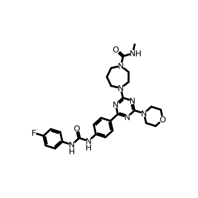 CNC(=O)N1CCCN(c2nc(-c3ccc(NC(=O)Nc4ccc(F)cc4)cc3)nc(N3CCOCC3)n2)CC1